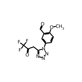 COc1ccc(-n2nnnc2CC(=O)C(F)(F)F)cc1C=O